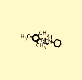 Cc1cc(C)c(N/C=C\NC2CCCCC2)c(C)c1